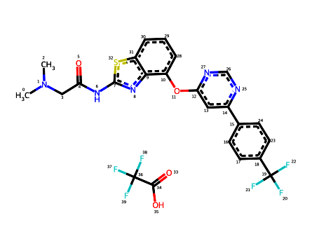 CN(C)CC(=O)Nc1nc2c(Oc3cc(-c4ccc(C(F)(F)F)cc4)ncn3)cccc2s1.O=C(O)C(F)(F)F